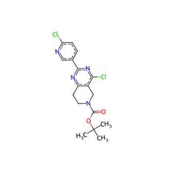 CC(C)(C)OC(=O)N1CCc2nc(-c3ccc(Cl)nc3)nc(Cl)c2C1